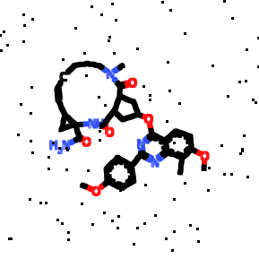 COc1ccc(-c2nc(OC3CC4C(=O)NC5(C(N)=O)CC5C=CCCCCN(C)C(=O)C4C3)c3ccc(OC)c(C)c3n2)cc1